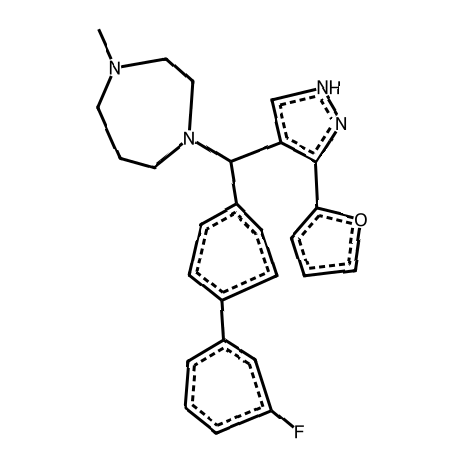 CN1CCCN(C(c2ccc(-c3cccc(F)c3)cc2)c2c[nH]nc2-c2ccco2)CC1